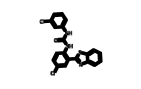 O=C(Nc1cccc(Cl)c1)Nc1ccc(Cl)cc1-c1nc2ccccc2s1